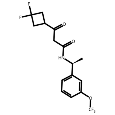 C[C@H](NC(=O)CC(=O)C1CC(F)(F)C1)c1cccc(OC(F)(F)F)c1